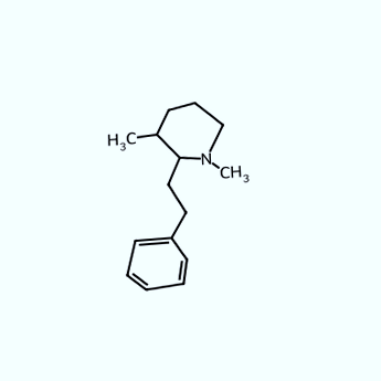 CC1CCCN(C)C1CCc1ccccc1